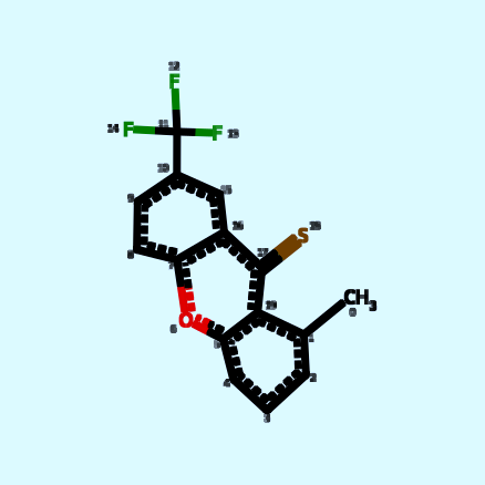 Cc1cccc2oc3ccc(C(F)(F)F)cc3c(=S)c12